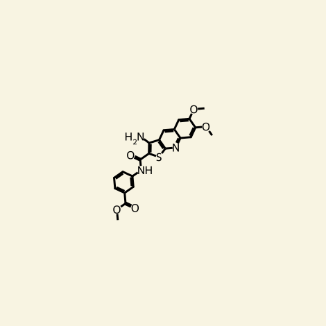 COC(=O)c1cccc(NC(=O)c2sc3nc4cc(OC)c(OC)cc4cc3c2N)c1